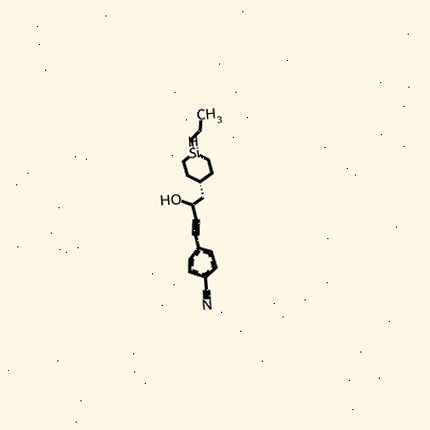 CCC[Si@H]1CC[C@H](CC(O)C#Cc2ccc(C#N)cc2)CC1